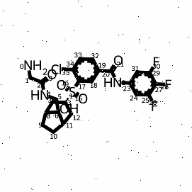 NCC(=O)NC[C@]1(O)C2CCC1C[C@@H](S(=O)(=O)c1cc(C(=O)Nc3cc(F)c(F)c(F)c3)ccc1Cl)C2